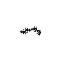 CC(C)(C)c1cnc(-c2ncc(C(C)(C)CCC(C)(C)c3ncc(-c4cnc(C(C)(C)C)s4)s3)s2)s1